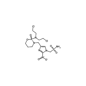 NS(=O)(=O)Cn1cc(CN2CCCOP2(=O)N(CCCl)CCCl)nc1[N+](=O)[O-]